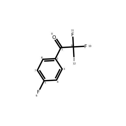 O=C(c1ccc(F)cc1)C(F)(F)I